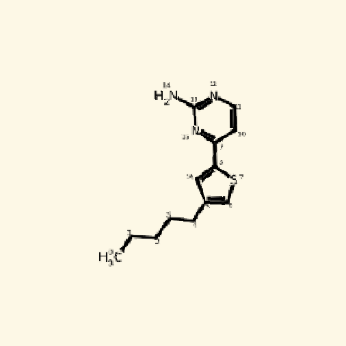 CCCCCc1csc(-c2ccnc(N)n2)c1